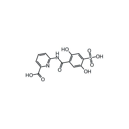 O=C(O)c1cccc(NC(=O)c2cc(O)c(S(=O)(=O)O)cc2O)n1